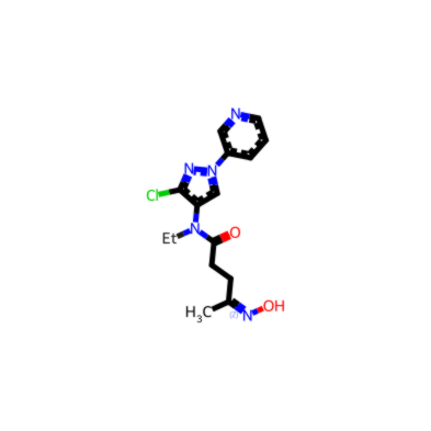 CCN(C(=O)CC/C(C)=N\O)c1cn(-c2cccnc2)nc1Cl